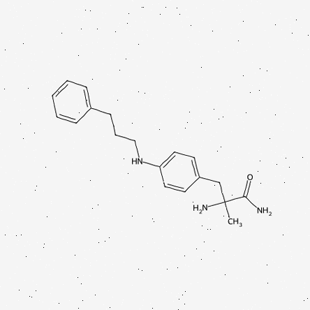 CC(N)(Cc1ccc(NCCCc2ccccc2)cc1)C(N)=O